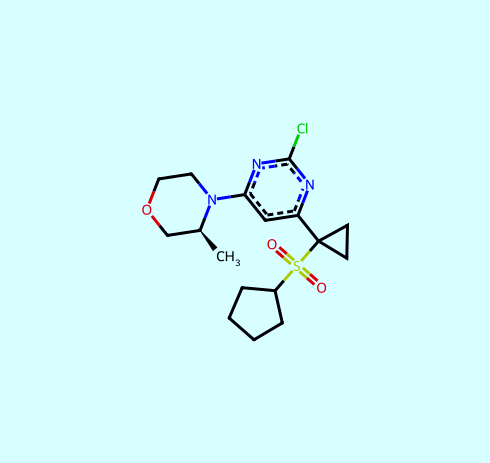 C[C@H]1COCCN1c1cc(C2(S(=O)(=O)C3CCCC3)CC2)nc(Cl)n1